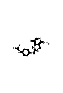 Nc1ncc(I)c2nc(NC3CCC(OC(F)F)CC3)ncc12